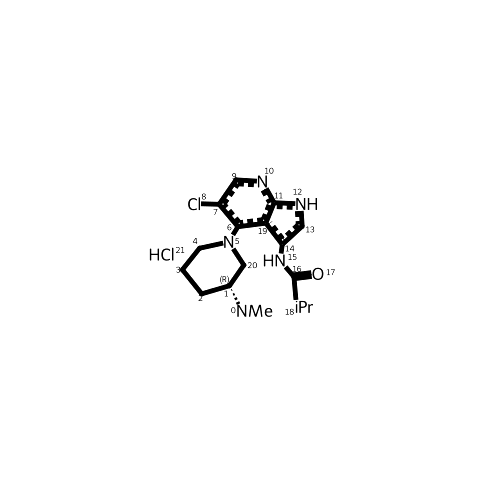 CN[C@@H]1CCCN(c2c(Cl)cnc3[nH]cc(NC(=O)C(C)C)c23)C1.Cl